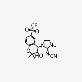 CN1CCN(C2c3cc(S(=O)(=O)C(F)(F)F)ccc3OC(C)(C)C2O)C1=NC#N